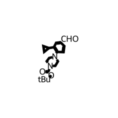 CC(C)(C)OC(=O)N1CCN(c2ccc(C=O)cc2C2CC2)CC1